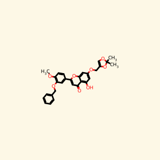 COc1ccc(-c2cc(=O)c3c(O)cc(OCC4=COC(C)(C)O4)cc3o2)cc1OCc1ccccc1